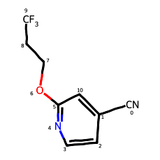 N#Cc1ccnc(OCCC(F)(F)F)c1